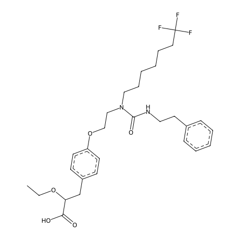 CCOC(Cc1ccc(OCCN(CCCCCCC(F)(F)F)C(=O)NCCc2ccccc2)cc1)C(=O)O